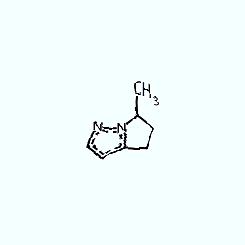 CC1CCc2ccnn21